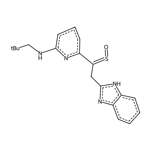 CC(C)(C)CNc1cccc(C(Cc2nc3ccccc3[nH]2)=S=O)n1